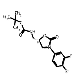 CC(C)(C)OC(=O)NC[C@H]1CN(c2ccc(Br)c(F)c2)C(=O)O1